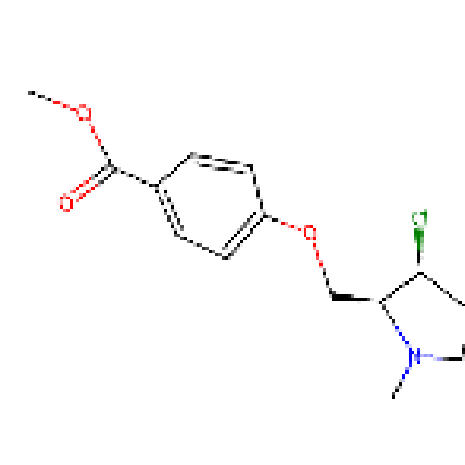 COC(=O)c1ccc(OC[C@H]2[C@@H](Cl)CCN2C)cc1